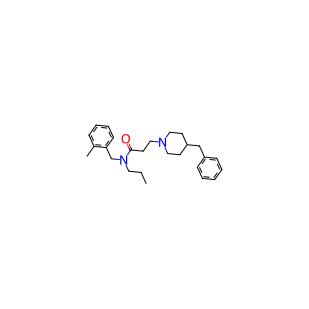 CCCN(Cc1ccccc1C)C(=O)CCN1CCC(Cc2ccccc2)CC1